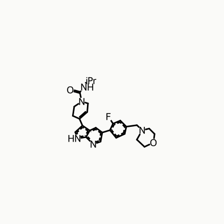 CC(C)NC(=O)N1CC=C(c2c[nH]c3ncc(-c4ccc(CN5CCOCC5)cc4F)cc23)CC1